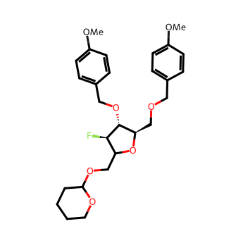 COc1ccc(COC[C@H]2OC(COC3CCCCO3)[C@@H](F)[C@@H]2OCc2ccc(OC)cc2)cc1